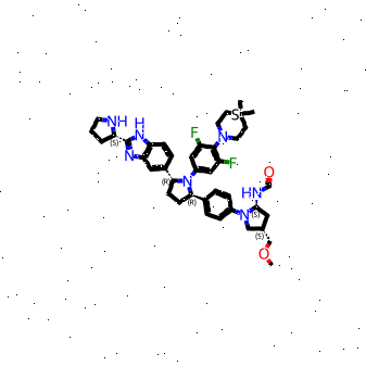 COC[C@H]1C[C@@H](NC=O)N(c2ccc([C@H]3CC[C@H](c4ccc5[nH]c([C@@H]6CCCN6)nc5c4)N3c3cc(F)c(N4CC[Si](C)(C)CC4)c(F)c3)cc2)C1